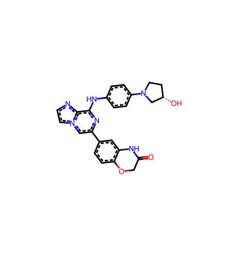 O=C1COc2ccc(-c3cn4ccnc4c(Nc4ccc(N5CC[C@H](O)C5)cc4)n3)cc2N1